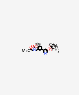 COC(=O)CN(Cc1cccc(-c2cncc(B3OC(C)(C)C(C)(C)O3)c2)c1)C(=O)OC(C)(C)C